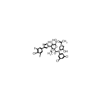 CO[C@@H]1[C@@H](n2cc(-c3cc(F)c(Cl)c(F)c3)nn2)[C@@H](O)[C@@H](CO)O[C@H]1C(=O)N(c1cc(Cl)cc(Cl)c1)[C@@H]1CN(C(C)=O)C[C@H]1O